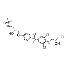 CS(=O)(=O)NC[C@@H](O)COc1ccc(S(=O)(=O)c2cc(Cl)c(OC[C@@H](O)CCl)c(Cl)c2)cc1